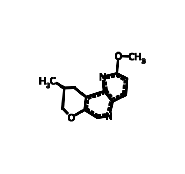 COc1ccc2ncc3c(c2n1)CC(C)CO3